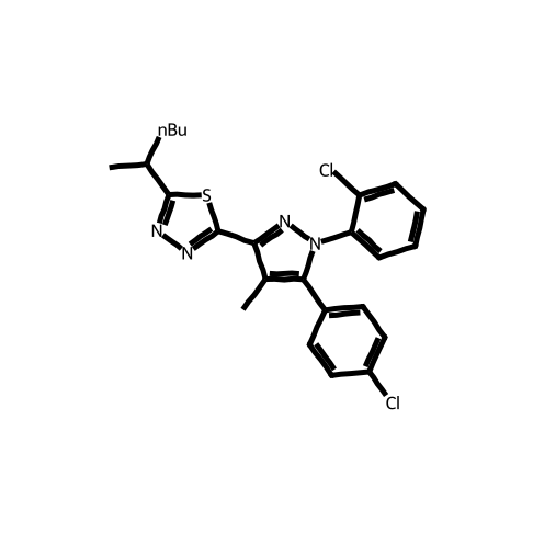 CCCCC(C)c1nnc(-c2nn(-c3ccccc3Cl)c(-c3ccc(Cl)cc3)c2C)s1